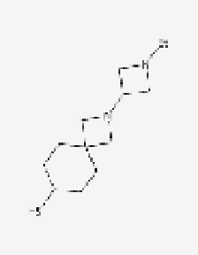 CCN1CC(N2CC3(CCC(S)CC3)C2)C1